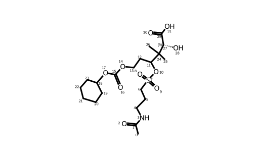 CC(=O)NCCCS(=O)(=O)OC(CCOC(=O)OC1CCCCC1)C(C)(C)[C@@H](O)C(=O)O